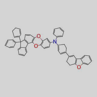 C1=CC(C2(c3ccccc3)c3ccccc3-c3c2ccc2c3Oc3ccc(N(C4=CC=C(C5=Cc6c(oc7ccccc67)CC5)CC4)c4ccccc4)cc3O2)=CCC1